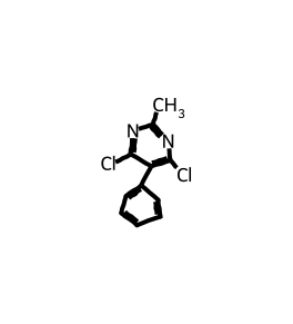 Cc1nc(Cl)c(-c2ccccc2)c(Cl)n1